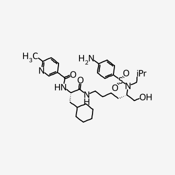 Cc1ccc(C(=O)N[C@@H](CC2CCCCC2)C(=O)NCCCC[C@@H](CO)N(CC(C)C)S(=O)(=O)c2ccc(N)cc2)cn1